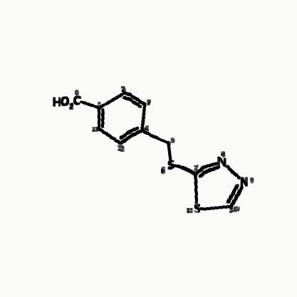 O=C(O)c1ccc(CSc2nncs2)cc1